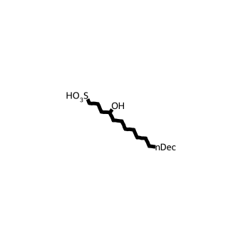 CCCCCCCCCCCCCCCCCC(O)CCCS(=O)(=O)O